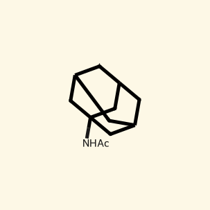 CC(=O)NC12CC3[CH]C(CC(C3)C1)C2